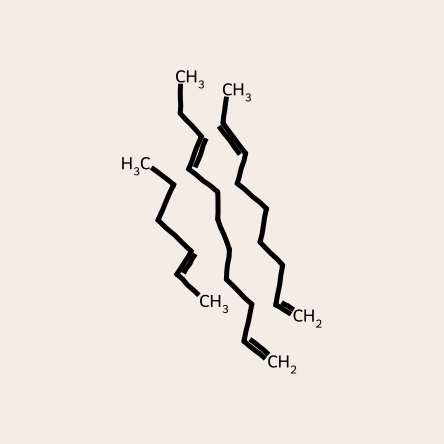 C=CCCCCC=CC.C=CCCCCCC=CCC.CC=CCCC